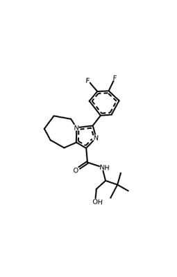 CC(C)(C)C(CO)NC(=O)c1nc(-c2ccc(F)c(F)c2)n2c1CCCCC2